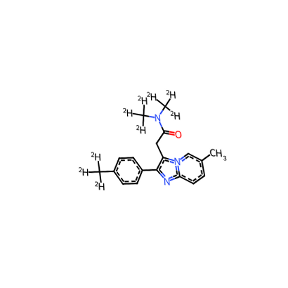 [2H]C([2H])([2H])c1ccc(-c2nc3ccc(C)cn3c2CC(=O)N(C([2H])([2H])[2H])C([2H])([2H])[2H])cc1